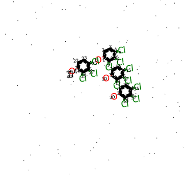 [O-]c1ccc(Cl)c(Cl)c1Cl.[O-]c1ccc(Cl)c(Cl)c1Cl.[O-]c1ccc(Cl)c(Cl)c1Cl.[O-]c1ccc(Cl)c(Cl)c1Cl.[Ti+4]